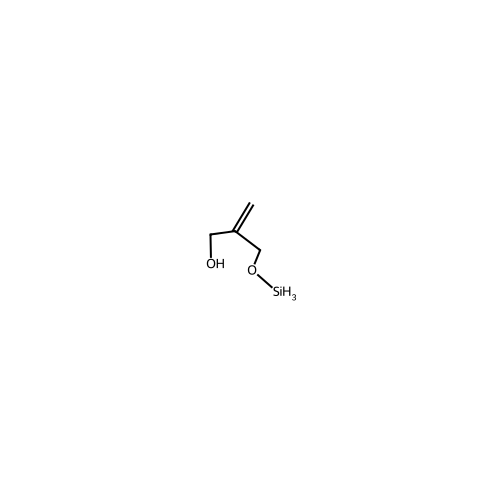 C=C(CO)CO[SiH3]